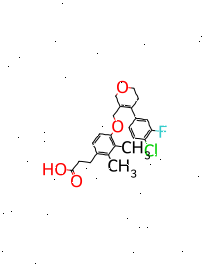 Cc1c(CCC(=O)O)ccc(OCC2=C(c3ccc(Cl)c(F)c3)CCOC2)c1C